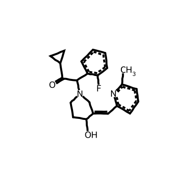 Cc1cccc(C=C2CN(C(C(=O)C3CC3)c3ccccc3F)CCC2O)n1